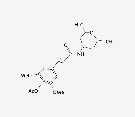 COc1cc(/C=C/C(=O)NN2CC(C)OC(C)C2)cc(OC)c1OC(C)=O